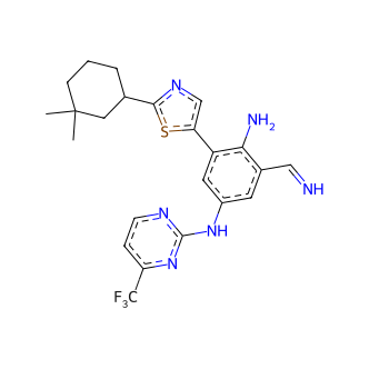 CC1(C)CCCC(c2ncc(-c3cc(Nc4nccc(C(F)(F)F)n4)cc(C=N)c3N)s2)C1